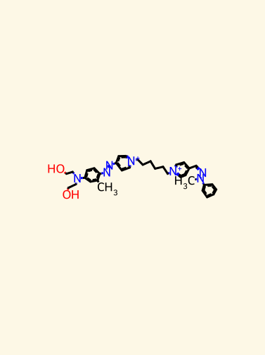 Cc1cc(N(CCO)CCO)ccc1/N=N/c1cc[n+](CCCCCC[n+]2ccc(/C=N\N(C)c3ccccc3)cc2)cc1